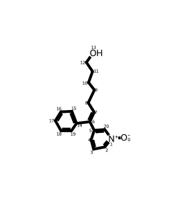 [O-][n+]1cccc(C(=CCCCCCO)c2ccccc2)c1